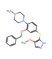 COc1cn[nH]c1Sc1ccc(N2CCN(C)CC2)c(OCc2ccccc2)c1